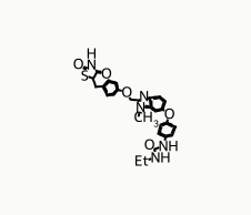 CCNC(=O)Nc1ccc(Oc2ccc3nc(COc4ccc(CC5SC(=O)NC5=O)cc4)n(C)c3c2)cc1